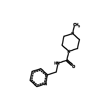 CN1CCN(C(=O)NCc2ccccn2)CC1